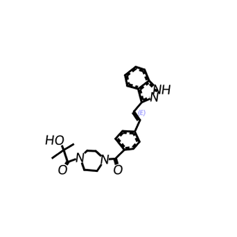 CC(C)(O)C(=O)N1CCN(C(=O)c2ccc(/C=C/c3n[nH]c4ccccc34)cc2)CC1